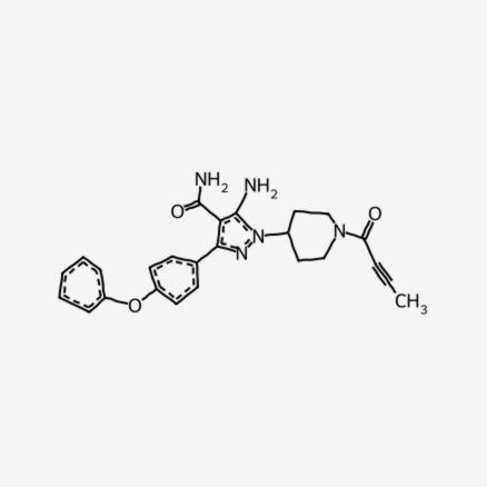 CC#CC(=O)N1CCC(n2nc(-c3ccc(Oc4ccccc4)cc3)c(C(N)=O)c2N)CC1